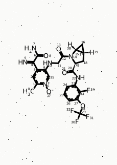 Cc1cc(C(=N)C(N)=O)c(NCC(=O)N2[C@@H]3C[C@@H]3C[C@H]2C(=O)Nc2cccc(OC(F)(F)F)c2F)c[n+]1[O-]